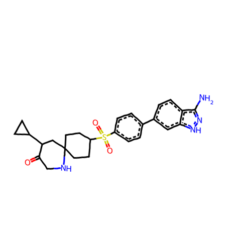 Nc1n[nH]c2cc(-c3ccc(S(=O)(=O)C4CCC5(CC4)CC(C4CC4)C(=O)CN5)cc3)ccc12